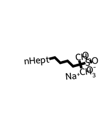 CCCCCCCCCCCC(C)(C)S(=O)(=O)[O-].[Na+]